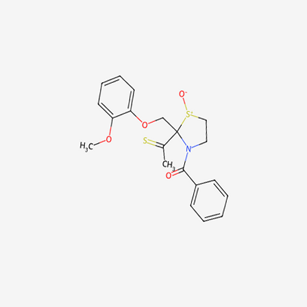 COc1ccccc1OCC1(C(C)=S)N(C(=O)c2ccccc2)CC[S+]1[O-]